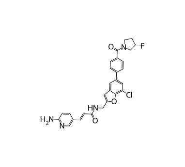 Nc1ccc(/C=C/C(=O)NCc2cc3cc(-c4ccc(C(=O)N5CC[C@H](F)C5)cc4)cc(Cl)c3o2)cn1